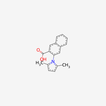 Cc1ccc(C)n1-c1cc2ccccc2cc1C(=O)O